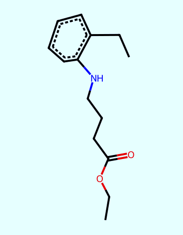 CCOC(=O)CCCNc1ccccc1CC